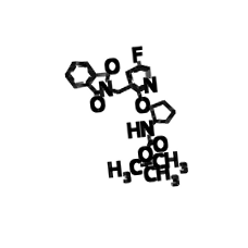 CC(C)(C)OC(=O)NC1CCCC1Oc1ncc(F)cc1CN1C(=O)c2ccccc2C1=O